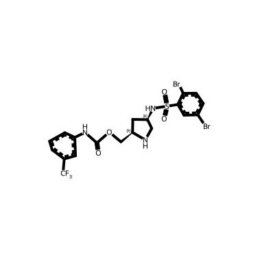 O=C(Nc1cccc(C(F)(F)F)c1)OC[C@H]1C[C@@H](NS(=O)(=O)c2cc(Br)ccc2Br)CN1